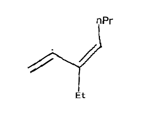 C=[C]C(=CCCC)CC